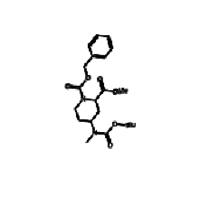 COC(=O)C1CC(N(C)C(=O)OC(C)(C)C)CCN1C(=O)OCc1ccccc1